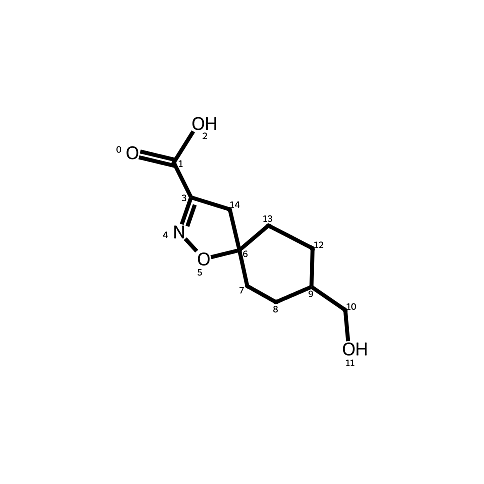 O=C(O)C1=NOC2(CCC(CO)CC2)C1